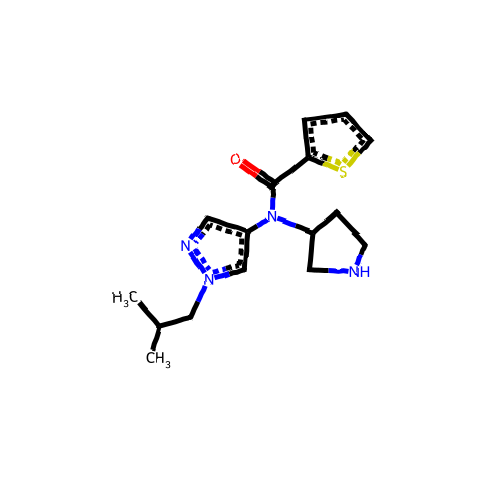 CC(C)Cn1cc(N(C(=O)c2cccs2)C2CCNC2)cn1